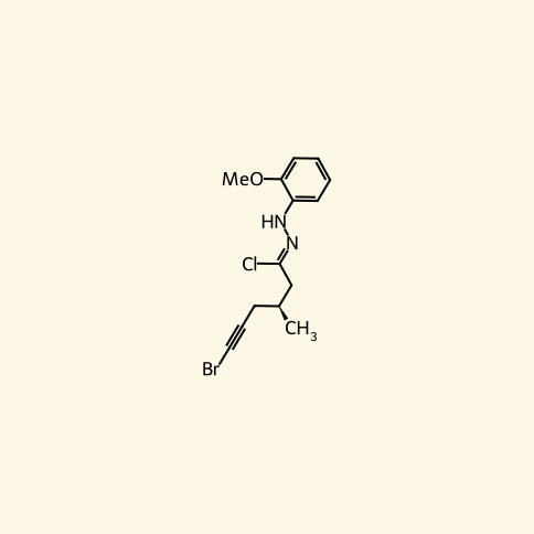 COc1ccccc1N/N=C(\Cl)C[C@@H](C)CC#CBr